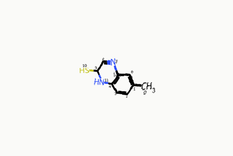 Cc1ccc2c(c1)N=CC(S)N2